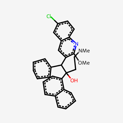 CNCCC(O)(c1cccc2ccccc12)C(c1ccccc1)c1cc2cc(Cl)ccc2nc1OC